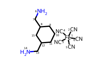 N#[C][Fe]([C]#N)([C]#N)([C]#N)[C]#N.NCC1CCCC(CN)C1